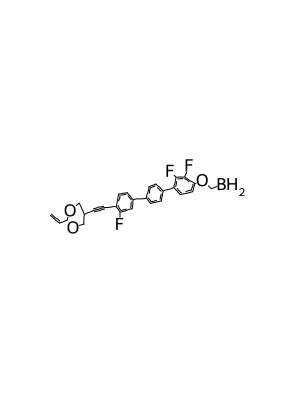 BCOc1ccc(-c2ccc(-c3ccc(C#CC4COC(C=C)OC4)c(F)c3)cc2)c(F)c1F